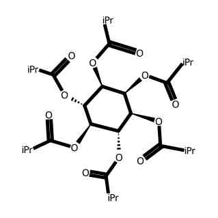 CC(C)C(=O)O[C@H]1[C@H](OC(=O)C(C)C)[C@@H](OC(=O)C(C)C)[C@H](OC(=O)C(C)C)[C@@H](OC(=O)C(C)C)[C@H]1OC(=O)C(C)C